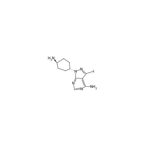 Nc1ncnc2c1c(I)nn2[C@H]1CC[C@H](N)CC1